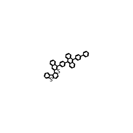 c1ccc(-c2ccc(-c3c4ccccc4c(-c4ccc(-c5c6ccccc6cc6c5sc5ccc7sc8ccccc8c7c56)cc4)c4ccccc34)cc2)cc1